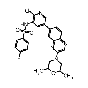 CC1CN(c2cnc3ccc(-c4cnc(Cl)c(NS(=O)(=O)c5ccc(F)cc5)c4)cc3n2)CC(C)O1